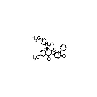 Cc1cccc(C(=O)c2c(NC(=O)N3CCN(C)CC3)sc3c2ccc(=O)n3-c2ccccc2)c1